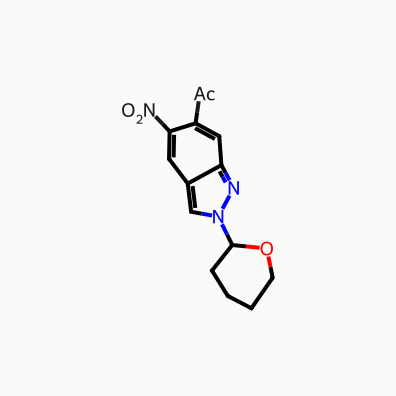 CC(=O)c1cc2nn(C3CCCCO3)cc2cc1[N+](=O)[O-]